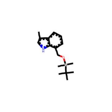 Cc1c[nH]c2c(CO[Si](C)(C)C(C)(C)C)cccc12